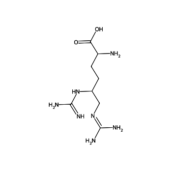 N=C(N)NC(CCC(N)C(=O)O)CN=C(N)N